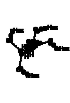 CCCCCCOCCOCCOC(=O)CCCCCCCCCCOc1ccc(Nc2nc(Nc3ccc(OC)c(OC)c3)nc(Nc3ccc(OCCCCCCCCCCC(=O)OCCOCCOCCCCCC)c(OCCCCCCCCCCC(=O)OCCOCCOCCCCCC)c3)n2)cc1OCCCCCCCCCCC(=O)OCCOCCOCCCCCC